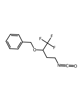 O=C=NCCC(OCc1ccccc1)C(F)(F)F